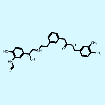 Cc1ccc(CNC(=O)Cc2cccc(CCNC[C@@H](O)c3ccc(O)c(NC=O)c3)c2)cc1C